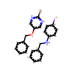 Brc1ncc(OCc2ccccc2)cn1.Ic1ccc(NCc2ccccc2)cc1